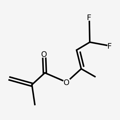 C=C(C)C(=O)OC(C)=CC(F)F